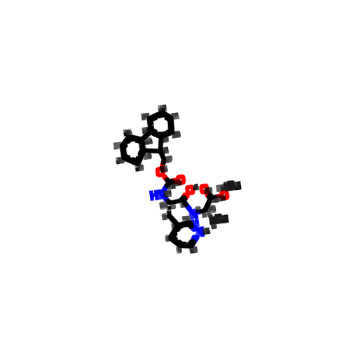 CCCC[C@H](NC(=O)[C@H](Cc1cccnc1)NC(=O)OCC1c2ccccc2-c2ccccc21)C(=O)OC(C)(C)C